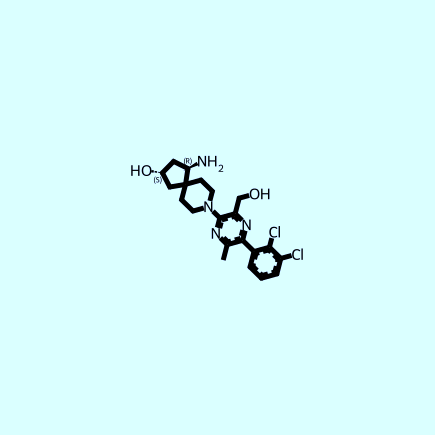 Cc1nc(N2CCC3(CC2)C[C@H](O)C[C@H]3N)c(CO)nc1-c1cccc(Cl)c1Cl